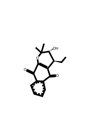 CC[C@H]1C2=C(OC(C)(C)[C@@H]1O)C(=O)c1ccccc1C2=O